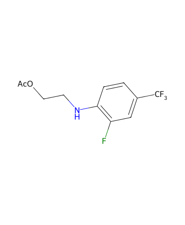 CC(=O)OCCNc1ccc(C(F)(F)F)cc1F